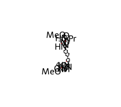 COC(=O)N[C@H](C(=O)N1C[C@H](C)C[C@H]1c1ncc(-c2ccc3cc(-c4ccc(-c5cnc([C@@H]6CCCN6C(=O)[C@H](NC(=O)OC)c6ccccc6)[nH]5)cc4)ccc3c2)[nH]1)C(C)C